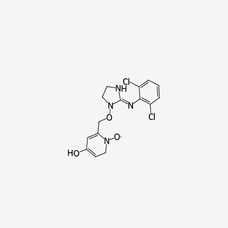 [O]N1CC=C(O)C=C1CON1CCNC1=Nc1c(Cl)cccc1Cl